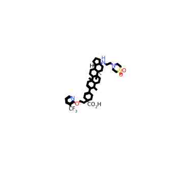 CC1C(C2=CCC(CCOc3ncccc3C(F)(F)F)(C(=O)O)CC2)=CCC2(C)C1CCC1(C)C2CCC2[C@H]3CCCC3(NCCN3CCS(=O)(=O)CC3)CC[C@]21C